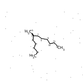 C=C(CCCCC)CCCCCC